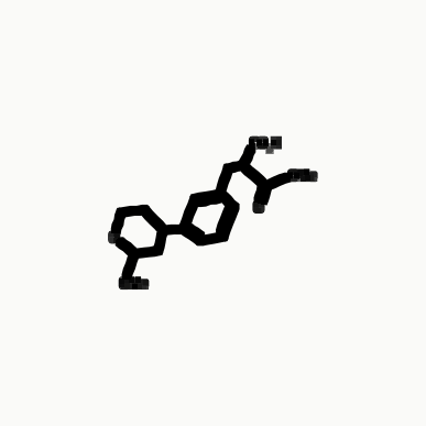 COC(=O)C(Cc1cccc(C2CCOC(OC)C2)c1)C(=O)O